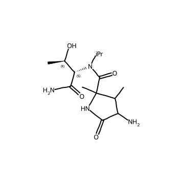 CC(C)N(C(=O)C1(C)NC(=O)C(N)C1C)[C@H](C(N)=O)[C@@H](C)O